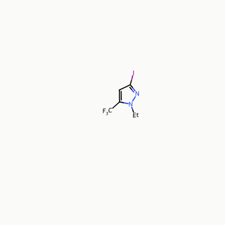 CCn1nc(I)cc1C(F)(F)F